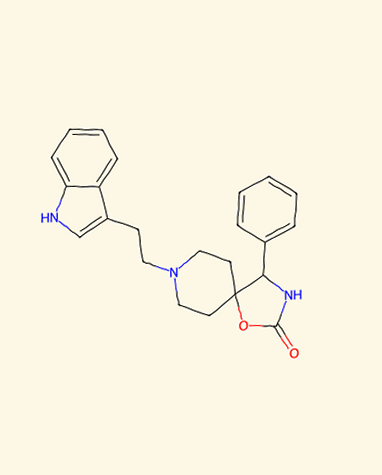 O=C1NC(c2ccccc2)C2(CCN(CCc3c[nH]c4ccccc34)CC2)O1